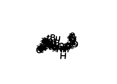 CN1CCN(C(=O)c2ccc(NC(=O)Nc3ccc(C(=N)/N=C(\c4ccc(C(C)(C)C)[nH]4)N4CCOCC4)cc3)cc2)CC1